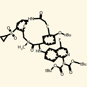 CCCCOc1ccc2cc1CCC(=O)Nc1ccc(S(=O)(=O)C3CC3)c(c1)CN(C)C(=O)C2Nc1ccc2c(N(C(=O)OC(C)(C)C)C(=O)OC(C)(C)C)ncc(F)c2c1